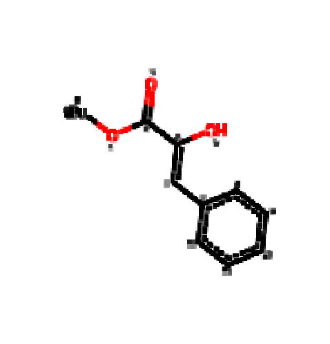 CC(C)(C)OC(=O)C(O)=Cc1ccccc1